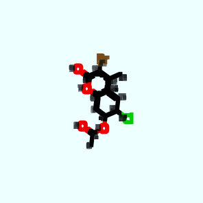 CC(=O)OC1C=c2oc(=O)c(Br)c(C)c2=CC1Cl